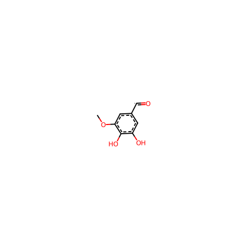 COc1cc([C]=O)cc(O)c1O